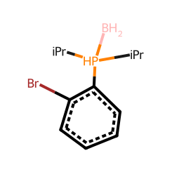 B[PH](c1ccccc1Br)(C(C)C)C(C)C